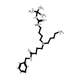 CCCCCN(CCCCNC(=O)OC(C)(C)C)CCCC(=O)OCc1ccccc1